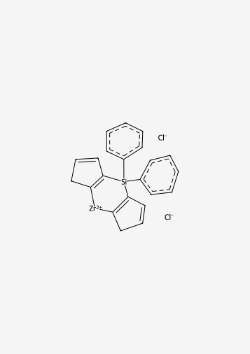 C1=CC2=[C](C1)[Zr+2][C]1=C(C=CC1)[Si]2(c1ccccc1)c1ccccc1.[Cl-].[Cl-]